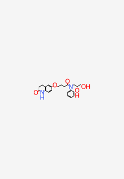 O=C1CCc2cc(OCCCC(=O)N(CC(O)CO)c3ccccc3)ccc2N1